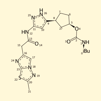 CC[C@H](C)NC(=O)O[C@@H]1CC[C@H](c2cc(NC(=O)Cc3cn4nc(C)sc4n3)n[nH]2)C1